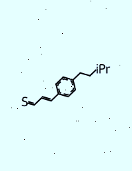 CC(C)CCc1ccc(C=CC=S)cc1